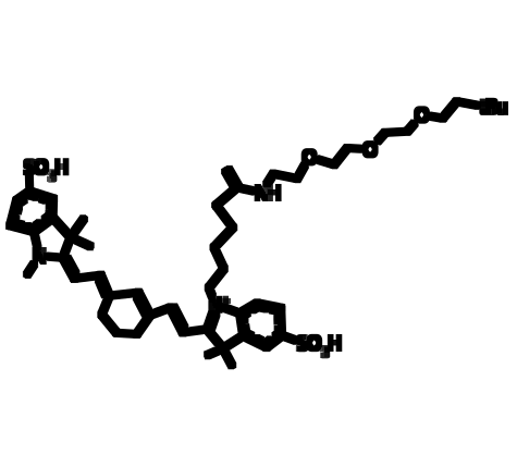 C=C(CCCCC[N+]1=C(/C=C/C2=CC(=C/C=C3/N(C)c4ccc(S(=O)(=O)O)cc4C3(C)C)/CCC2)C(C)(C)c2cc(S(=O)(=O)O)ccc21)NCCOCCOCCOCCC(C)(C)C